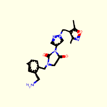 Cc1noc(C)c1Cn1cc(N2C(=O)CN(Cc3ccccc3CN)C2=O)cn1